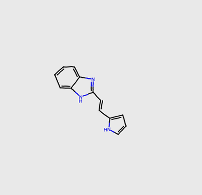 C(=Cc1nc2ccccc2[nH]1)c1ccc[nH]1